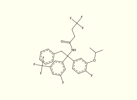 CC(C)Oc1cc(C(Cc2ccccc2)(NC(=O)CCC(F)(F)F)c2cc(F)cc(C(F)(F)F)c2)ccc1F